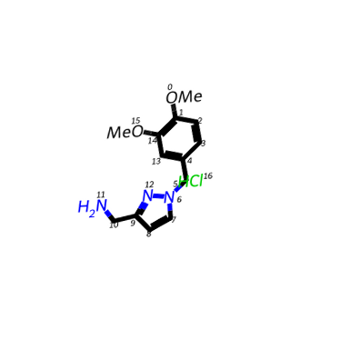 COc1ccc(Cn2ccc(CN)n2)cc1OC.Cl